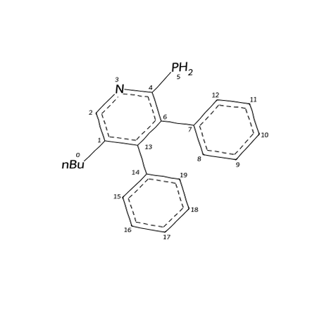 CCCCc1cnc(P)c(-c2ccccc2)c1-c1ccccc1